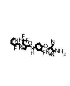 N#Cc1c(N)ncnc1Oc1ccc(NC(=O)c2cnn(-c3ncccc3F)c2C(F)(F)F)cc1F